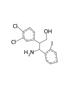 NC(c1ccccc1I)C(CO)c1ccc(Cl)c(Cl)c1